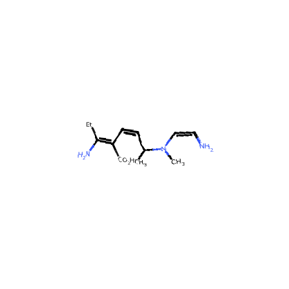 CC/C(N)=C(\C=C/C(C)N(C)/C=C\N)C(=O)O